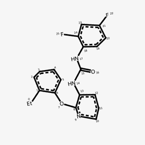 CCc1ccccc1Oc1ncccc1NC(=O)Nc1ccc(F)cc1F